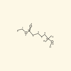 CCOC(=O)CCCCC(C)(C)OC